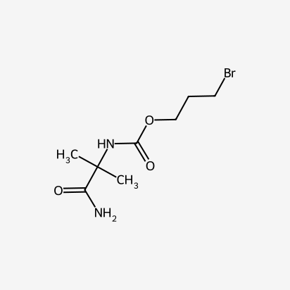 CC(C)(NC(=O)OCCCBr)C(N)=O